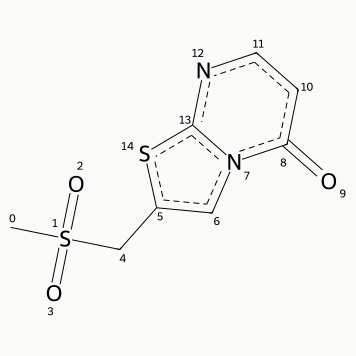 CS(=O)(=O)Cc1cn2c(=O)ccnc2s1